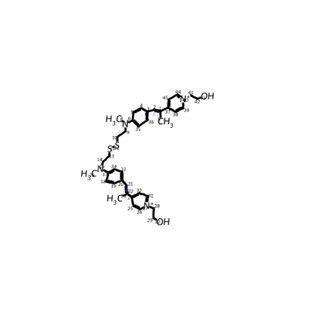 C/C(=C\c1ccc(N(C)CCSSCCN(C)c2ccc(/C=C(\C)c3cc[n+](CCO)cc3)cc2)cc1)c1cc[n+](CCO)cc1